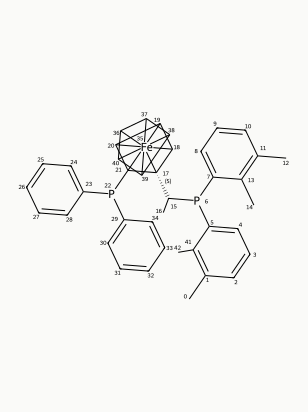 Cc1cccc(P(c2cccc(C)c2C)C(C)[C@]23[CH]4[CH]5[CH]6[C]2(P(c2ccccc2)c2ccccc2)[Fe]56432789[CH]3[CH]2[CH]7[CH]8[CH]39)c1C